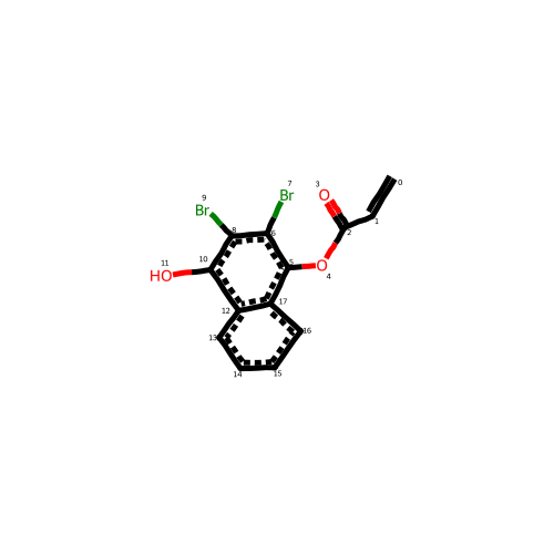 C=CC(=O)Oc1c(Br)c(Br)c(O)c2ccccc12